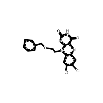 CCc1cc2c(cc1Cl)nc1c(=O)[nH]c(=O)nc-1n2CCOCc1ccccc1